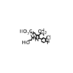 NC(=O)c1c(-c2ccc(F)c(Cl)c2)nn2c1CN(C(=O)O)CC2CCO